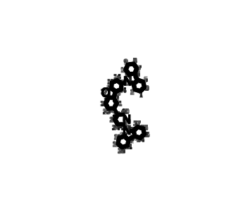 c1ccc2c(c1)c1ccccc1n2-c1ccc2oc3ccc(-c4ccc(-n5c6ccccc6c6ccccc65)nc4)cc3c2c1